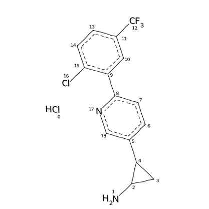 Cl.NC1CC1c1ccc(-c2cc(C(F)(F)F)ccc2Cl)nc1